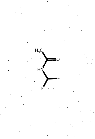 CC(=O)NC(F)F